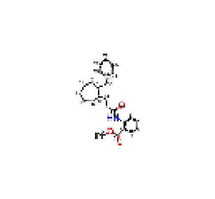 CC(C)OC(=O)c1ccccc1NC(=O)CCC1CCCCCC1Cc1ccccc1